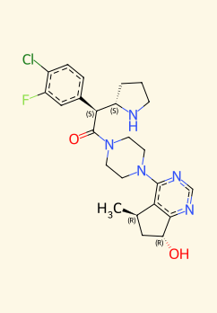 C[C@@H]1C[C@@H](O)c2ncnc(N3CCN(C(=O)[C@@H](c4ccc(Cl)c(F)c4)[C@@H]4CCCN4)CC3)c21